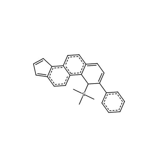 C[Si](C)(C)C1C(c2ccccc2)=CC=c2ccc3c4c(ccc3c21)=CC=C4